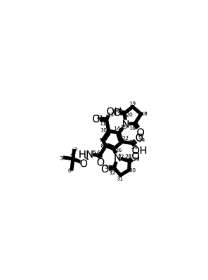 CC(C)(C)ONC(=O)c1cc(C(=O)O)c(N2C(=O)CCC2=O)c(C(=O)O)c1N1C(=O)CCC1=O